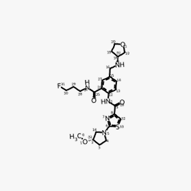 CO[C@H]1CCN(c2nc(C(=O)Nc3ccc(CN[C@H]4CCOC4)cc3C(=O)NCCCF)cs2)C1